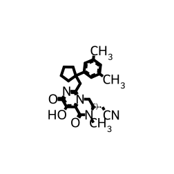 Cc1cc(C)cc(C2(Cc3nc(=O)c(O)c4n3C[C@H](CC#N)N(C)C4=O)CCCC2)c1